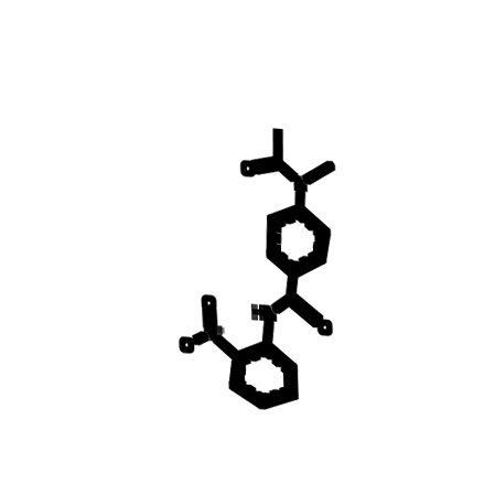 CC(=O)N(C)c1ccc(C(=O)Nc2ccccc2[N+](=O)[O-])cc1